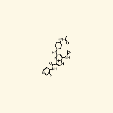 CC(=O)NC1CCC(Nc2cc(NC3CC3)c3ncc(C(=O)Nc4ccncc4F)n3n2)CC1